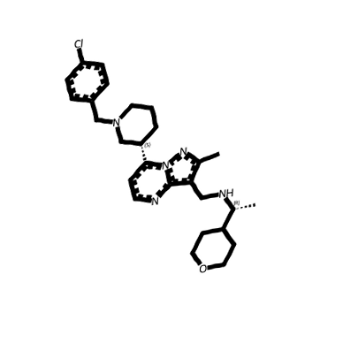 Cc1nn2c([C@H]3CCCN(Cc4ccc(Cl)cc4)C3)ccnc2c1CN[C@H](C)C1CCOCC1